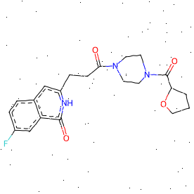 O=C(CCc1cc2ccc(F)cc2c(=O)[nH]1)N1CCN(C(=O)C2CCCO2)CC1